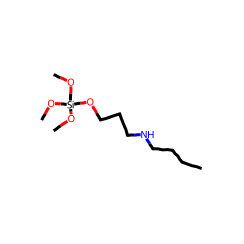 CCCCNCCCO[Si](OC)(OC)OC